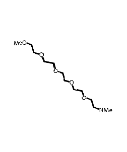 CNCCOCCOCCOCCOCCOC